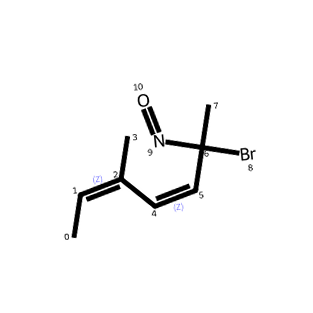 C/C=C(C)\C=C/C(C)(Br)N=O